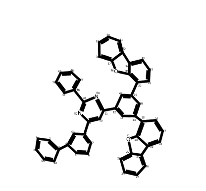 c1ccc(-c2cccc(-c3cc(-c4cc(-c5cccc6c5oc5ccccc56)cc(-c5cccc6c5oc5ccccc56)c4)nc(-c4ccccc4)n3)c2)cc1